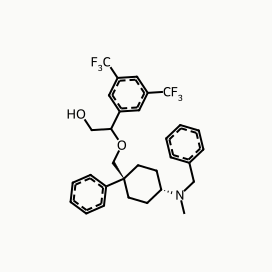 CN(Cc1ccccc1)[C@H]1CC[C@@](COC(CO)c2cc(C(F)(F)F)cc(C(F)(F)F)c2)(c2ccccc2)CC1